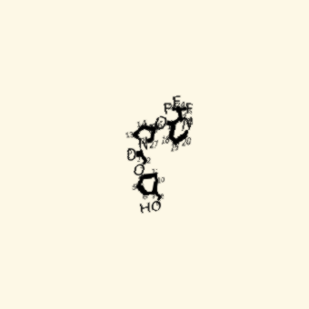 O=C(COc1ccc(CO)cc1)N1CC[C@@H](Oc2cccnc2C(F)(F)F)C1